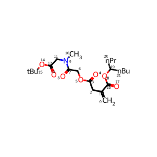 C=C(CC(=O)OCC(=O)N(C)CC(=O)OC(C)(C)C)C(=O)OC(CCC)CCCC